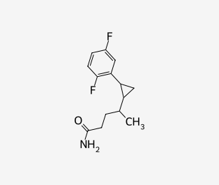 CC(CCC(N)=O)C1CC1c1cc(F)ccc1F